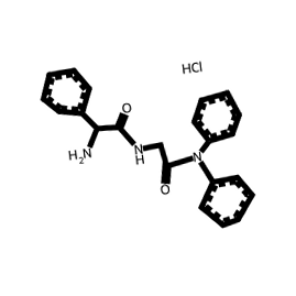 Cl.NC(C(=O)NCC(=O)N(c1ccccc1)c1ccccc1)c1ccccc1